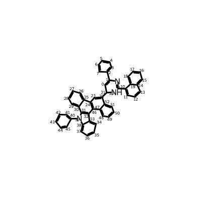 C1=C(c2ccccc2)N=C(c2cccc3ccccc23)NC1c1cc2c3ccccc3c3c(c4ccccc4n3-c3ccccc3)c2c2ccccc12